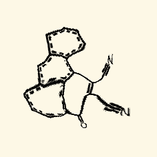 N#CC1=C(C#N)c2c3ccccc3cc3cccc(c23)C1=O